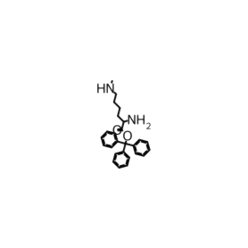 CNCCCCC(N)C(=O)OC(c1ccccc1)(c1ccccc1)c1ccccc1